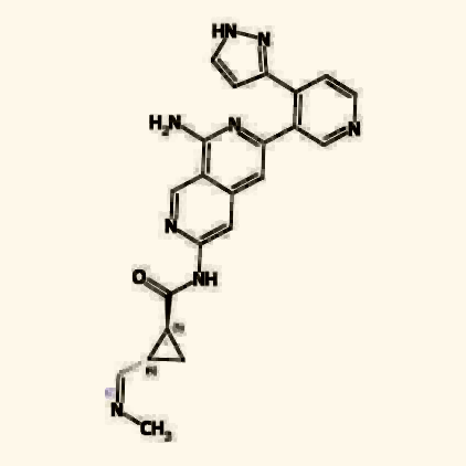 C/N=C\[C@H]1C[C@@H]1C(=O)Nc1cc2cc(-c3cnccc3-c3cc[nH]n3)nc(N)c2cn1